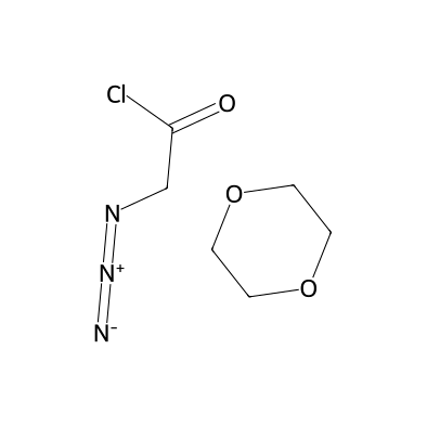 C1COCCO1.[N-]=[N+]=NCC(=O)Cl